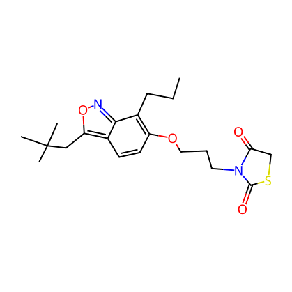 CCCc1c(OCCCN2C(=O)CSC2=O)ccc2c(CC(C)(C)C)onc12